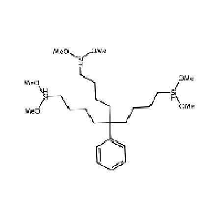 CO[SiH](CCCCC(CCCC[SiH](OC)OC)(CCCC[SiH](OC)OC)c1ccccc1)OC